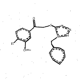 CCc1ccc(C(=O)CSc2nnnn2Cc2ccccc2)cc1OC